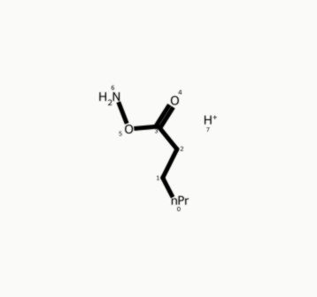 CCCCCC(=O)ON.[H+]